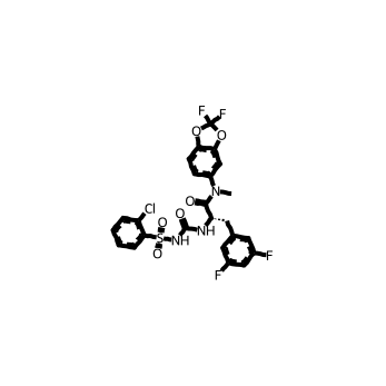 CN(C(=O)[C@H](Cc1cc(F)cc(F)c1)NC(=O)NS(=O)(=O)c1ccccc1Cl)c1ccc2c(c1)OC(F)(F)O2